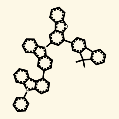 CC1(C)c2ccccc2-c2ccc(-c3cc(-n4c5ccccc5c5cc(-c6cccc7c6c6ccccc6n7-c6ccccc6)ccc54)cc4c3sc3ccccc34)cc21